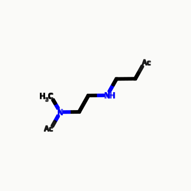 CC(=O)CCNCCN(C)C(C)=O